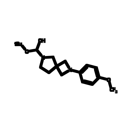 CC(C)(C)OC(O)N1CCC2(CN(c3ccc(OC(F)(F)F)cc3)C2)C1